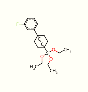 CCO[Si](OCC)(OCC)C12CCC(c3cccc(F)c3)(CC1)CC2